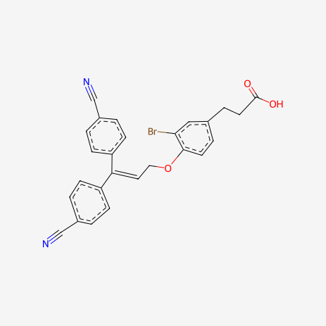 N#Cc1ccc(C(=CCOc2ccc(CCC(=O)O)cc2Br)c2ccc(C#N)cc2)cc1